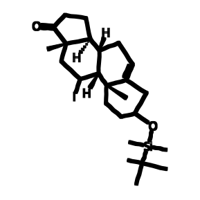 CC(C)(C)[Si](C)(C)OC1CC[C@@]2(C)C(=CC[C@@H]3[C@H]2C(I)C[C@]2(C)C(=O)CC[C@@H]32)C1